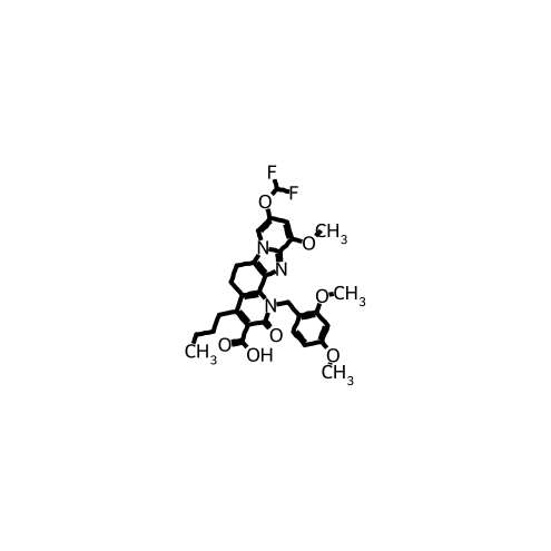 CCCCc1c2c(n(Cc3ccc(OC)cc3OC)c(=O)c1C(=O)O)-c1nc3c(OC)cc(OC(F)F)cn3c1CC2